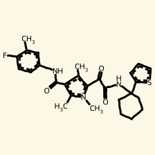 Cc1cc(NC(=O)c2c(C)c(C(=O)C(=O)NC3(c4cccs4)CCCCC3)n(C)c2C)ccc1F